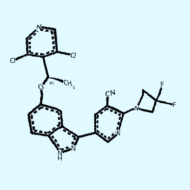 C[C@@H](Oc1ccc2[nH]nc(-c3cnc(N4CC(F)(F)C4)c(C#N)c3)c2c1)c1c(Cl)cncc1Cl